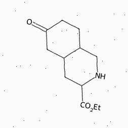 CCOC(=O)C1CC2CC(=O)CCC2CN1